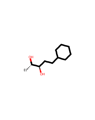 CC[C@H](O)[C@H](O)CCC1CCCCC1